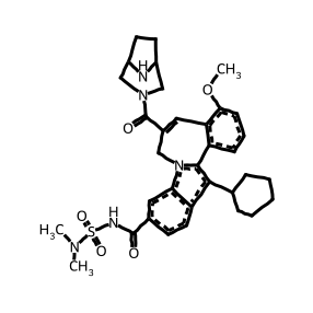 COc1cccc2c1C=C(C(=O)N1CC3CCC(C1)N3)Cn1c-2c(C2CCCCC2)c2ccc(C(=O)NS(=O)(=O)N(C)C)cc21